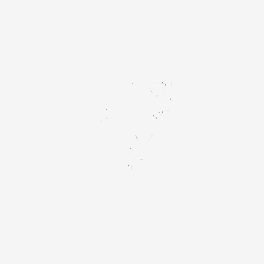 CN1CCCN(C)C(=O)COC2=C(NC(=O)NC3CCCCC3)C=CC(C2)/N=C2\N=CNc3[nH]cc(c32)C1